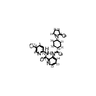 O=C(Nc1ccc(Cl)cn1)c1ncccc1NC(=O)[C@H]1CC[C@H](N2CCCC2=O)CC1